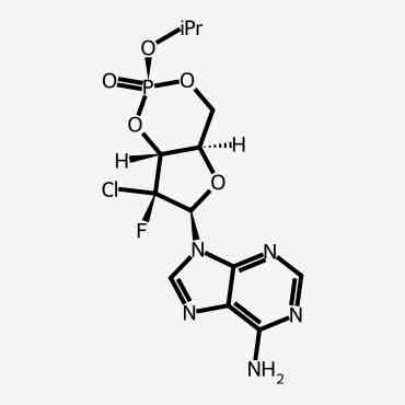 CC(C)O[P@@]1(=O)OC[C@H]2O[C@@H](n3cnc4c(N)ncnc43)[C@](F)(Cl)[C@@H]2O1